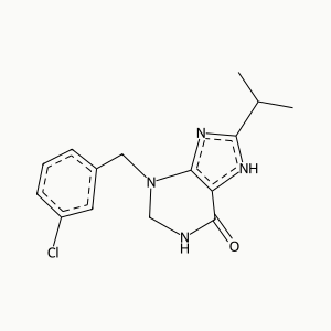 CC(C)c1nc2c([nH]1)C(=O)NCN2Cc1cccc(Cl)c1